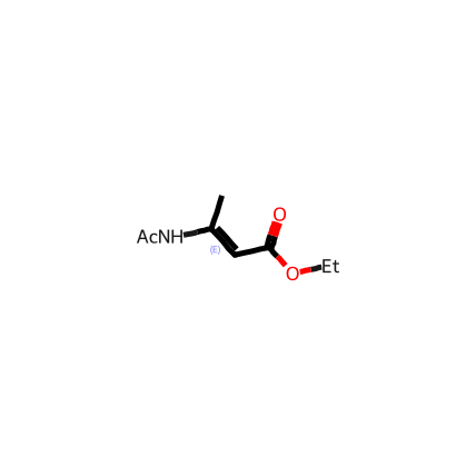 CCOC(=O)/C=C(\C)NC(C)=O